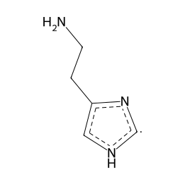 NCCc1c[nH][c]n1